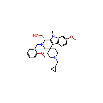 COc1ccc2c3c(n(C)c2c1)[C@@H](CO)N(Cc1ccccc1OC)CC31CCN(CC2CC2)CC1